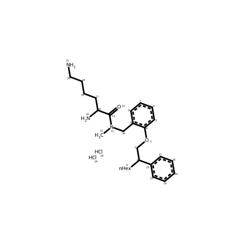 CCCCCCC(COc1ccccc1CN(C)C(=O)C(N)CCCCN)c1ccccc1.Cl.Cl